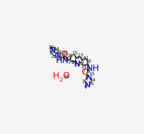 CN1CCN(CC(=O)Nc2ccc3cc4ccc(NC(=O)CN5CCN(C)CC5)cc4nc3c2)CC1.O